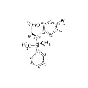 C[Si](C)(c1ccccc1)[C@@H](CC=O)c1ccc(Br)cc1